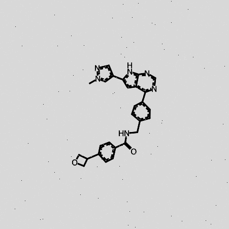 Cn1cc(-c2cc3c(-c4ccc(CNC(=O)c5ccc(C6COC6)cc5)cc4)ncnc3[nH]2)cn1